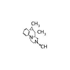 C#CN1CCN(c2ccccc2)[C@@H]([C@@H](C)C2C[C@@H]2C)C1